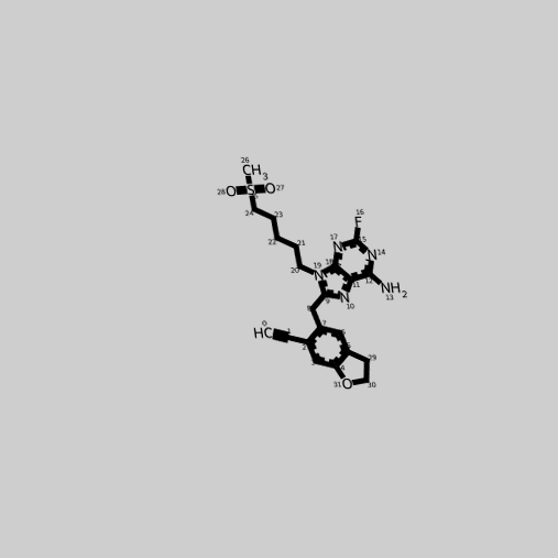 C#Cc1cc2c(cc1Cc1nc3c(N)nc(F)nc3n1CCCCCS(C)(=O)=O)CCO2